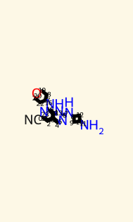 N#Cc1cc2cnc(N[C@H]3C[C@H](N)C3)nc2c(NC2CCOCC2)n1